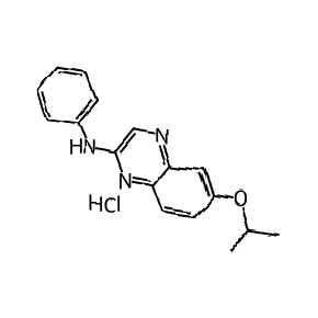 CC(C)Oc1ccc2nc(Nc3ccccc3)cnc2c1.Cl